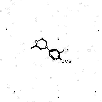 COc1ccc(N2CCNC(C)C2)cc1Cl